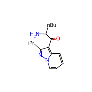 CCCCC(N)C(=O)c1c(C(C)C)nn2ccccc12